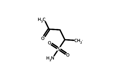 [CH2]C(CC(C)=O)S(N)(=O)=O